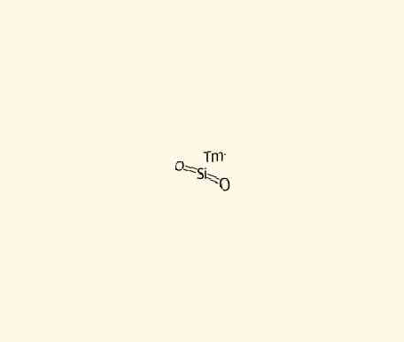 O=[Si]=O.[Tm]